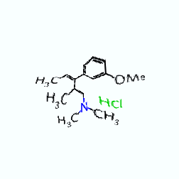 CC=C(c1cccc(OC)c1)C(C)CN(C)C.Cl